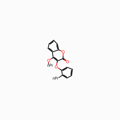 CCCOc1c(Oc2ccccc2CCC)c(=O)oc2ccccc12